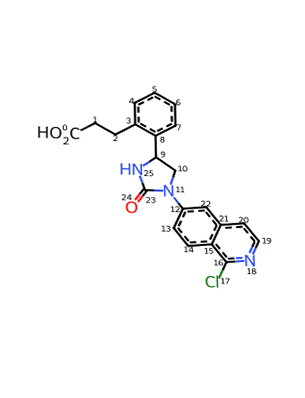 O=C(O)CCc1ccccc1C1CN(c2ccc3c(Cl)nccc3c2)C(=O)N1